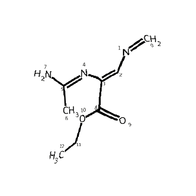 C=N/C=C(\N=C(/C)N)C(=O)OCC